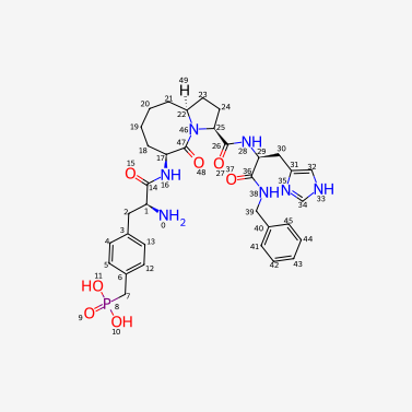 N[C@@H](Cc1ccc(CP(=O)(O)O)cc1)C(=O)N[C@H]1CCCC[C@H]2CC[C@@H](C(=O)N[C@@H](Cc3c[nH]cn3)C(=O)NCc3ccccc3)N2C1=O